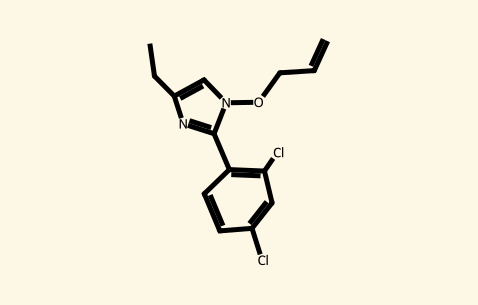 C=CCOn1cc(CC)nc1-c1ccc(Cl)cc1Cl